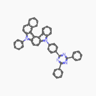 c1ccc(-c2nc(-c3ccccc3)nc(-c3ccc(-n4c5ccccc5c5c6c7c8ccccc8ccc7n(-c7ccccc7)c6ccc54)cc3)n2)cc1